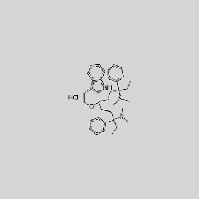 CCC(CCC1(CCC(CC)(c2ccccc2)N(C)C)OCCc2c1[nH]c1ccccc21)(c1ccccc1)N(C)C.Cl